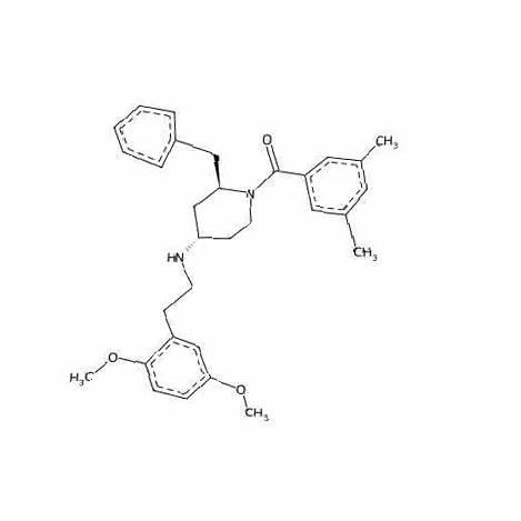 COc1ccc(OC)c(CCN[C@H]2CCN(C(=O)c3cc(C)cc(C)c3)[C@H](Cc3ccccc3)C2)c1